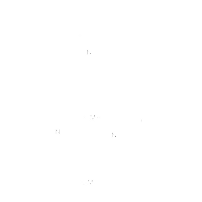 COc1ccnc(OC)c1C1CCCC(C=O)N1Cc1cccc(-c2ccccn2)c1